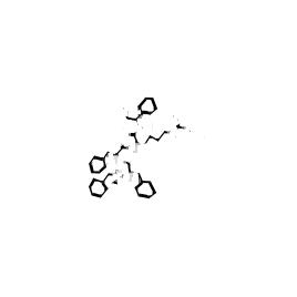 N=C(N)NCCCC[C@H](NC(=O)[C@H](Cc1ccccc1)NC(=O)[C@@H](Cc1ccccc1)NS(=O)(=O)Cc1ccccc1)C(=O)N[C@H](C(N)=O)c1ccccc1